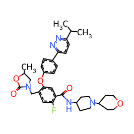 CC1CN(Cc2cc(F)c(C(=O)NC3CCN(C4CCOCC4)CC3)cc2Oc2ccc(-c3ccc(C(C)C)nn3)cc2)C(=O)O1